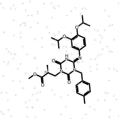 COC(=O)[C@@H](C)Cn1c(=O)[nH]/c(=N\c2ccc(OC(C)C)c(OC(C)C)c2)n(Cc2ccc(C)cc2)c1=O